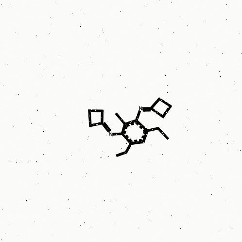 CCc1cc(CC)c(N=C2CCC2)c(C)c1N=C1CCC1